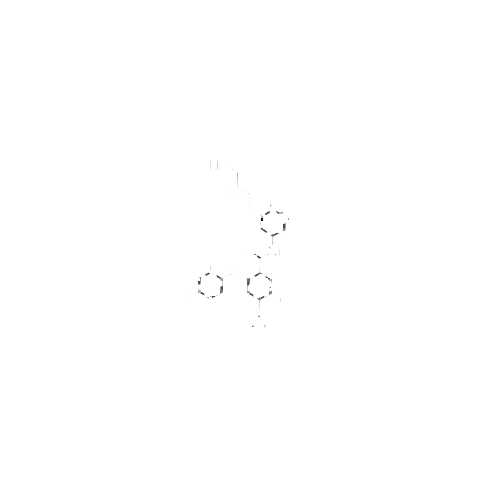 Cc1cc(F)ccc1Oc1cc(C2CC2)c(C)cc1C(=O)Nc1cnnc(OC[C@H](O)CO)c1